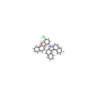 Clc1ccc(-n2c3ccc4ccccc4c3c3c4ccccc4ccc32)c2c1oc1c3ccccc3ccc12